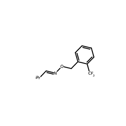 CC(C)C=NOCc1ccccc1C(F)(F)F